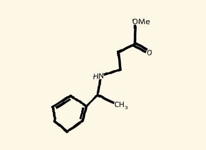 COC(=O)CCNC(C)C1=CCCC=C1